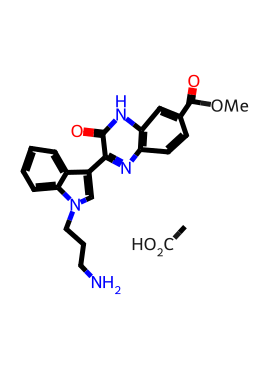 CC(=O)O.COC(=O)c1ccc2nc(-c3cn(CCCN)c4ccccc34)c(=O)[nH]c2c1